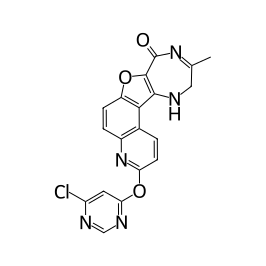 CC1=NC(=O)c2oc3ccc4nc(Oc5cc(Cl)ncn5)ccc4c3c2NC1